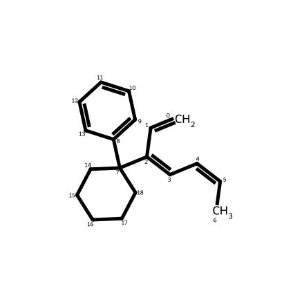 C=C/C(=C\C=C/C)C1(c2ccccc2)CCCCC1